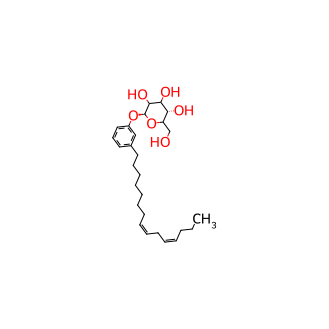 CCC/C=C\C/C=C\CCCCCCCc1cccc(O[C@@H]2OC(CO)[C@@H](O)C(O)C2O)c1